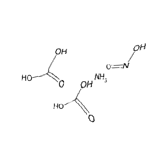 N.O=C(O)O.O=C(O)O.O=NO